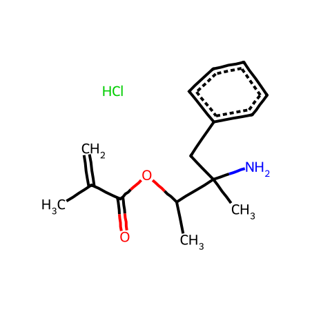 C=C(C)C(=O)OC(C)C(C)(N)Cc1ccccc1.Cl